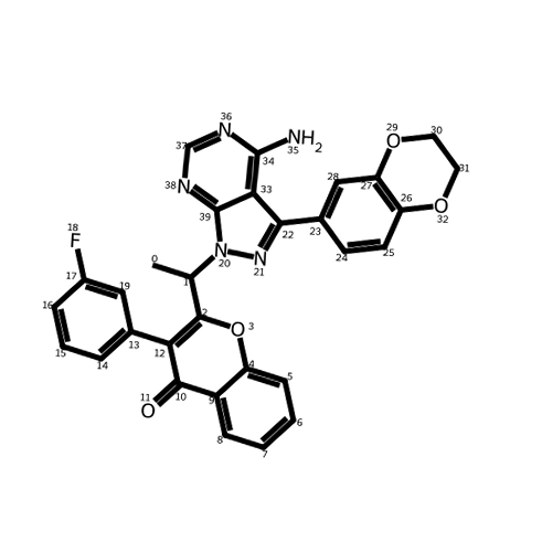 CC(c1oc2ccccc2c(=O)c1-c1cccc(F)c1)n1nc(-c2ccc3c(c2)OCCO3)c2c(N)ncnc21